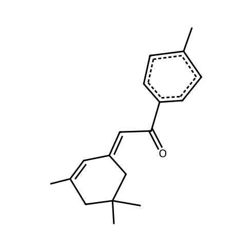 CC1=CC(=CC(=O)c2ccc(C)cc2)CC(C)(C)C1